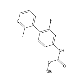 Cc1ncccc1-c1ccc(NC(=O)OC(C)(C)C)cc1F